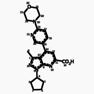 Cc1nn(C2CCCC2)c2nc(C(=O)O)cc(-c3ccc(N4CCOCC4)nc3)c12